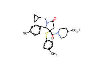 Cc1ccc(SC2(C(=O)N3CCC(C(=O)O)CC3)CC(=O)N(CC3CC3)C2c2ccc(C#N)cc2)cc1